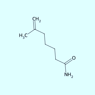 C=C(C)CCCCC(N)=O